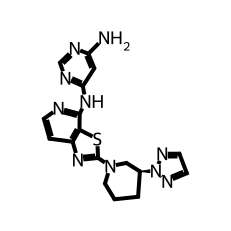 Nc1cc(Nc2nccc3nc(N4CCC[C@H](n5nccn5)C4)sc23)ncn1